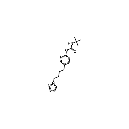 CC(C)(C)NC(=O)Oc1ccc(CCCCn2ccnn2)cn1